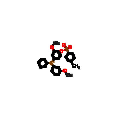 CC(C)(C)Oc1cccc([S+](c2ccccc2)c2cccc(OC(C)(C)C)c2)c1.Cc1ccc(S(=O)(=O)[O-])cc1